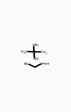 CCCC(C)CC(C)CC.CCCCC(C)(C)CCC